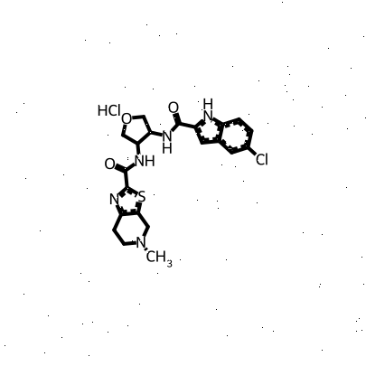 CN1CCc2nc(C(=O)NC3COCC3NC(=O)c3cc4cc(Cl)ccc4[nH]3)sc2C1.Cl